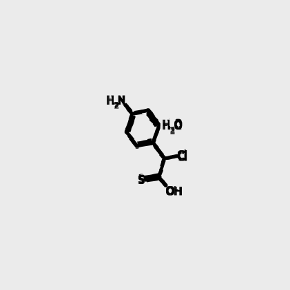 Nc1ccc(C(Cl)C(O)=S)cc1.O